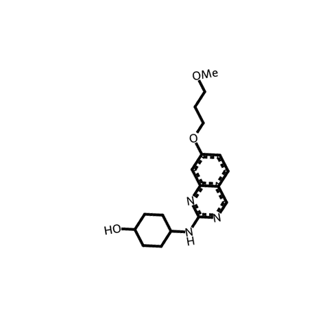 COCCCOc1ccc2cnc(NC3CCC(O)CC3)nc2c1